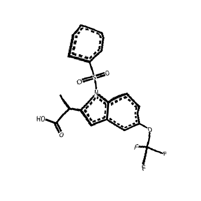 CC(C(=O)O)c1cc2cc(OC(F)(F)F)ccc2n1S(=O)(=O)c1ccccc1